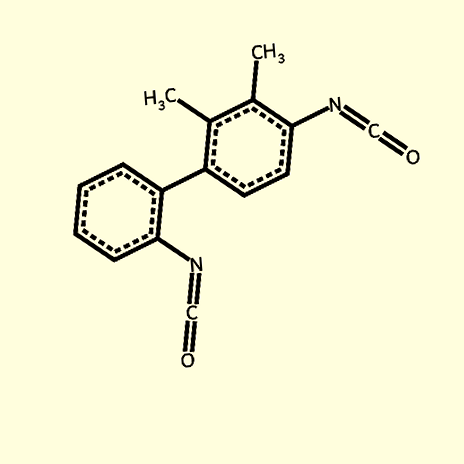 Cc1c(N=C=O)ccc(-c2ccccc2N=C=O)c1C